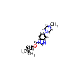 CN1CCN(c2ccc3c(c2)ncn3COCC[Si](C)(C)C)CC1